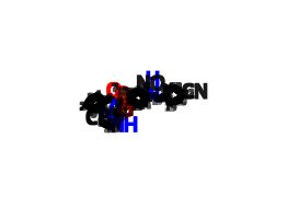 Cc1cccc(C(=O)NS(=O)(=O)c2ccc(NCC3CCC(C#N)CC3)c([N+](=O)[O-])c2)c1N1CCNCC1